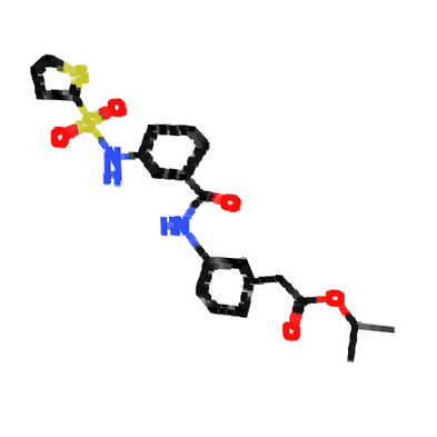 CC(C)OC(=O)Cc1cccc(NC(=O)c2cccc(NS(=O)(=O)c3cccs3)c2)c1